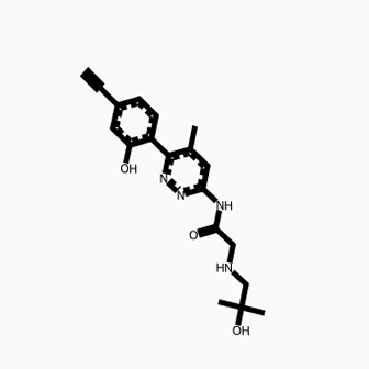 C#Cc1ccc(-c2nnc(NC(=O)CNCC(C)(C)O)cc2C)c(O)c1